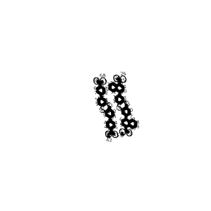 COC(=O)c1ccc(-c2ccc3c(c2)Sc2ccc(-c4ccc(C(=O)OC)c5ccccc45)cc2S3)c2ccccc12.COC(=O)c1ccc(-c2ccc3c(c2)Sc2ccc(-c4ccc(C(=O)OC)cc4)cc2S3)cc1